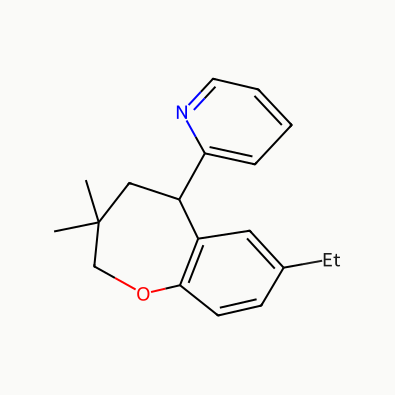 CCc1ccc2c(c1)C(c1ccccn1)CC(C)(C)CO2